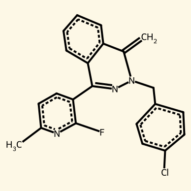 C=C1c2ccccc2C(c2ccc(C)nc2F)=NN1Cc1ccc(Cl)cc1